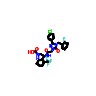 O=C(O)NCC(NC(=O)Cn1nc(-c2ccc(Cl)cc2)n(Cc2ccccc2F)c1=O)c1ccccc1C(F)(F)F